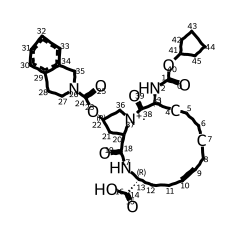 O=C(N[C@H]1CCCCCC=CCC[C@H](C(=O)O)NC(=O)C2C[C@@H](OC(=O)N3CCc4ccccc4C3)C[N+]2C1=O)OC1CCCC1